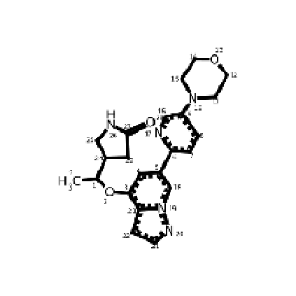 CC(Oc1cc(-c2ccc(N3CCOCC3)cn2)cn2nccc12)C1CNC(=O)C1